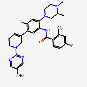 CC1CN(c2cc(F)c(C3=CCCN(c4ncc(C=O)cn4)C3)cc2NC(=O)c2ccc(F)cc2C(F)(F)F)CCN1C